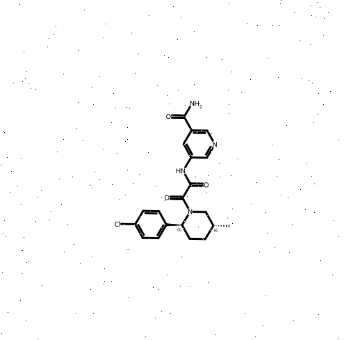 C[C@@H]1CC[C@@H](c2ccc(Cl)cc2)N(C(=O)C(=O)Nc2cncc(C(N)=O)c2)C1